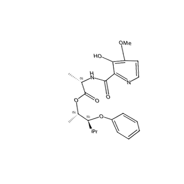 COc1ccnc(C(=O)N[C@@H](C)C(=O)O[C@@H](C)[C@@H](Oc2ccccc2)C(C)C)c1O